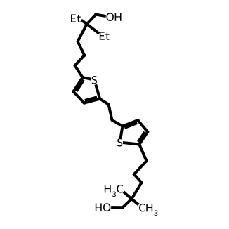 CCC(CC)(CO)CCCc1ccc(CCc2ccc(CCCC(C)(C)CO)s2)s1